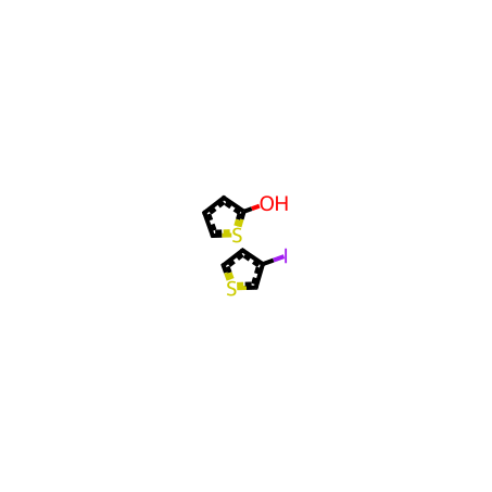 Ic1ccsc1.Oc1cccs1